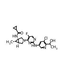 CC(O)c1ncc(Nc2ncc(F)c(N3C[C@H]4[C@@H](C)[C@@]4(NC(=O)C4CC4)C3)n2)cc1Cl